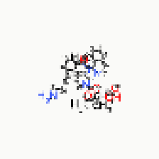 Cc1cccc2ccnc(N(C(=O)c3cccc(C#CCCN)c3)[C@@H]3CCCN(C(=O)OC(C)(C)C)C3)c12.O=CO